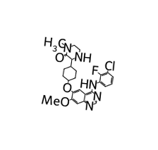 COc1cc2ncnc(Nc3cccc(Cl)c3F)c2cc1OC1CCC(C2NCCN(C)C2=O)CC1